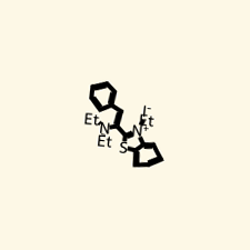 CCN(CC)C(=Cc1ccccc1)c1sc2ccccc2[n+]1CC.[I-]